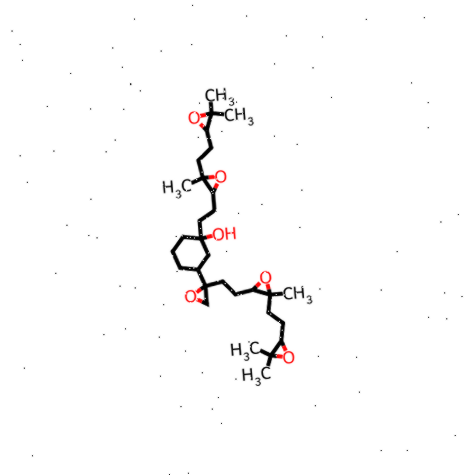 CC1(C)OC1CCC1(C)OC1CCC1(O)CCCC(C2(CCC3OC3(C)CCC3OC3(C)C)CO2)C1